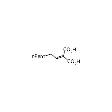 CCCCCCC=C(C(=O)O)C(=O)O